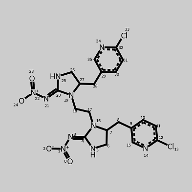 O=[N+]([O-])N=C1NCC(Cc2ccc(Cl)nc2)N1CCN1C(=N[N+](=O)[O-])NCC1Cc1ccc(Cl)nc1